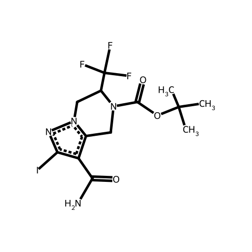 CC(C)(C)OC(=O)N1Cc2c(C(N)=O)c(I)nn2CC1C(F)(F)F